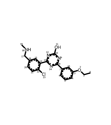 CCOc1cccc(-c2nc(O)nc(-c3cc(CNC)ccc3Cl)n2)c1